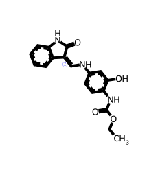 CCOC(=O)Nc1ccc(N/C=C2\C(=O)Nc3ccccc32)cc1O